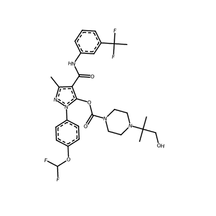 Cc1nn(-c2ccc(OC(F)F)cc2)c(OC(=O)N2CCN(C(C)(C)CO)CC2)c1C(=O)Nc1cccc(C(C)(F)F)c1